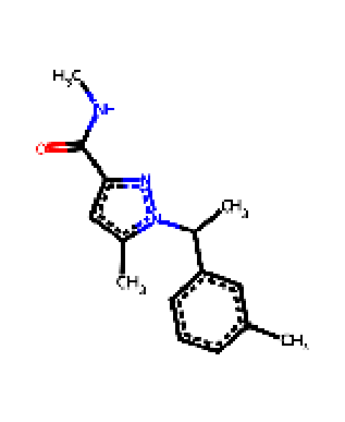 CNC(=O)c1cc(C)n(C(C)c2cccc(C)c2)n1